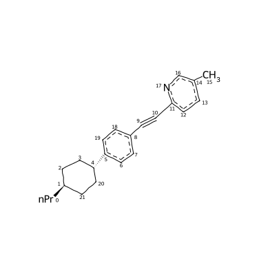 CCC[C@H]1CC[C@H](c2ccc(C#Cc3ccc(C)cn3)cc2)CC1